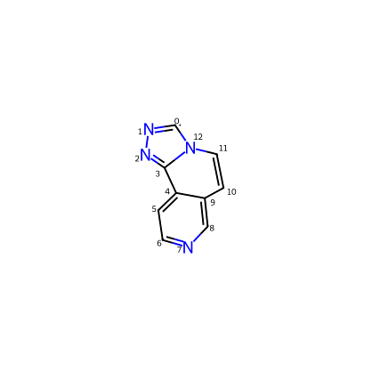 [c]1nnc2c3ccncc3ccn12